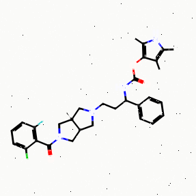 CC(=O)c1[nH]c(C)c(OC(=O)NC(CCN2CC3CN(C(=O)c4c(F)cccc4Cl)C[C@@H]3C2)c2ccccc2)c1C